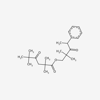 CC(C(=O)C(C)(C)COC(=O)C(C)(C)CC(=O)C(C)(C)C)c1ccccc1